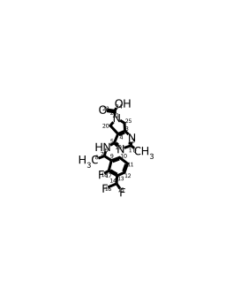 Cc1nc2c(c(NC(C)c3cccc(C(F)F)c3F)n1)CN(C(=O)O)C2